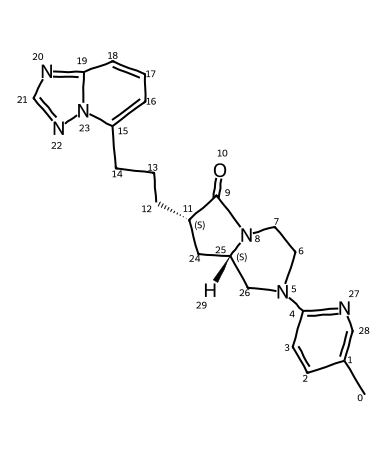 Cc1ccc(N2CCN3C(=O)[C@@H](CCCc4cccc5ncnn45)C[C@H]3C2)nc1